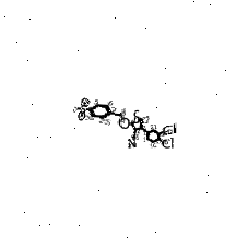 CS(=O)(=O)c1ccc(COc2scc(-c3ccc(Cl)c(Cl)c3)c2C#N)cc1